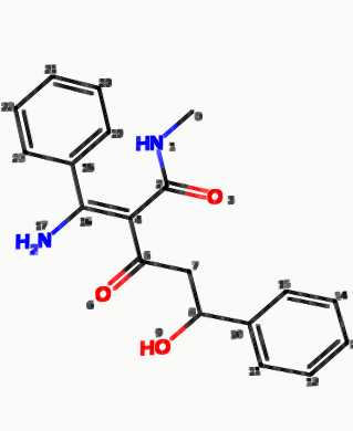 CNC(=O)C(C(=O)CC(O)c1ccccc1)=C(N)c1ccccc1